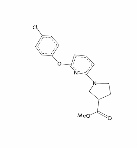 COC(=O)C1CCN(c2cccc(Oc3ccc(Cl)cc3)n2)C1